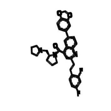 O=C(c1cc(CCc2ccc(F)cc2F)nc2ccc(-c3ccc4c(c3)OCO4)cc12)N1CCC[C@H]1CN1CCCC1